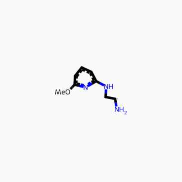 COc1cccc(NC[CH]N)n1